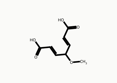 COC(C=CC(=O)O)C=CC(=O)O